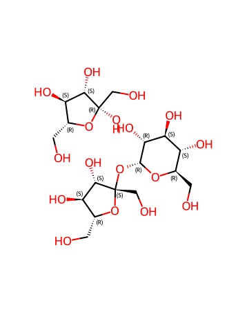 OC[C@H]1O[C@@](CO)(O[C@H]2O[C@H](CO)[C@@H](O)[C@H](O)[C@H]2O)[C@@H](O)[C@@H]1O.OC[C@H]1O[C@](O)(CO)[C@@H](O)[C@@H]1O